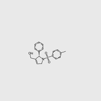 Cc1ccc(S(=O)(=O)N2CC=C(CO)[C@H]2c2ccccc2)cc1